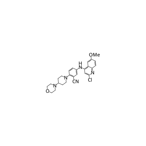 COc1ccc2nc(Cl)cc(Nc3ccc(N4CCC(N5CCOCC5)CC4)c(C#N)c3)c2c1